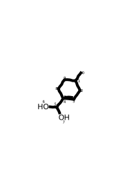 CC1CC=C(C(O)O)CC1